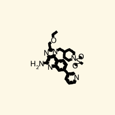 CCOCc1nc2c(N)nc3cc(-c4cccnc4)ccc3c2n1CC1CCN(S(C)(=O)=O)CC1